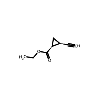 C#C[C@@H]1C[C@@H]1C(=O)OCC